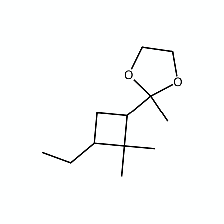 CCC1CC(C2(C)OCCO2)C1(C)C